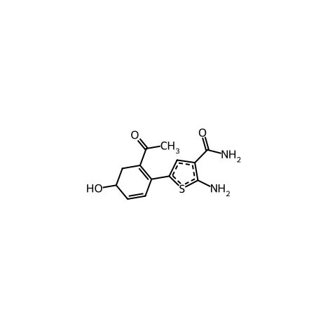 CC(=O)C1=C(c2cc(C(N)=O)c(N)s2)C=CC(O)C1